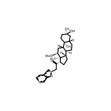 CO[C@H]1C[C@H]2[C@@H](CC[C@H]3C[C@](C)(O)CC[C@@]32C)[C@@H]2CC[C@H](C(=O)Cn3cc4ccncc4n3)[C@@]12C